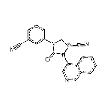 N#Cc1cccc(N2C[C@@H](C#N)N(c3cncc4ccccc34)C2=O)c1